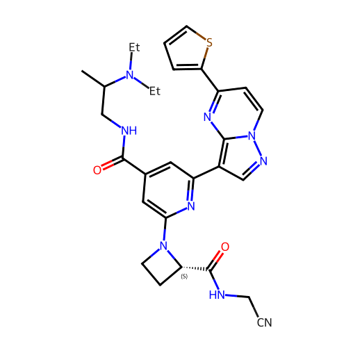 CCN(CC)C(C)CNC(=O)c1cc(-c2cnn3ccc(-c4cccs4)nc23)nc(N2CC[C@H]2C(=O)NCC#N)c1